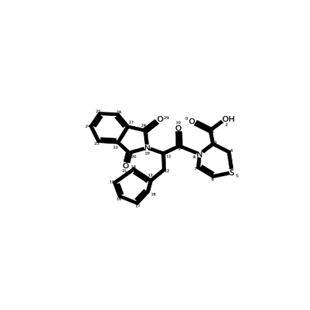 O=C(O)C1CSC=CN1C(=O)C(Cc1ccccc1)N1C(=O)c2ccccc2C1=O